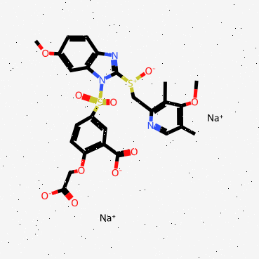 COc1ccc2nc([S+]([O-])Cc3ncc(C)c(OC)c3C)n(S(=O)(=O)c3ccc(OCC(=O)[O-])c(C(=O)[O-])c3)c2c1.[Na+].[Na+]